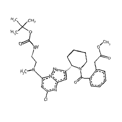 COC(=O)Cc1ccccc1C(=O)N1CCCC[C@H]1c1cc2nc(Cl)cc(N(C)CCNC(=O)OC(C)(C)C)n2n1